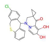 O=C1C2=C(O)C(O)C=CN2N(C2c3ccc(Cl)cc3CSc3ccccc32)CC12CC2